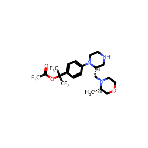 C[C@H]1COCCN1C[C@H]1CNCCN1c1ccc(C(OC(=O)C(F)(F)F)(C(F)(F)F)C(F)(F)F)cc1